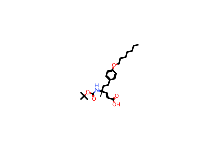 CCCCCCCOc1ccc(CC[C@](C)(C=CC(=O)O)NC(=O)OC(C)(C)C)cc1